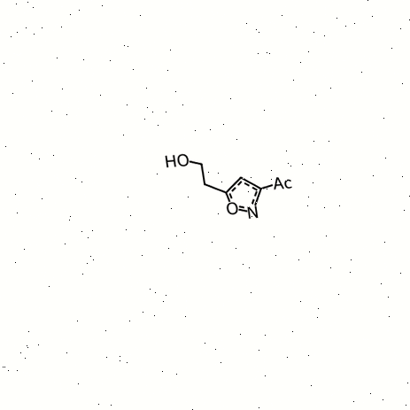 CC(=O)c1cc(CCO)on1